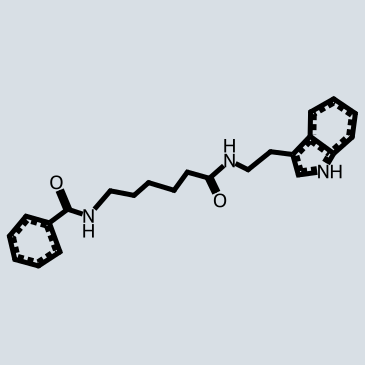 O=C(CCCCCNC(=O)c1ccccc1)NCCc1c[nH]c2ccccc12